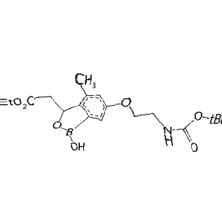 CCOC(=O)CC1OB(O)c2cc(OCCNC(=O)OC(C)(C)C)cc(C)c21